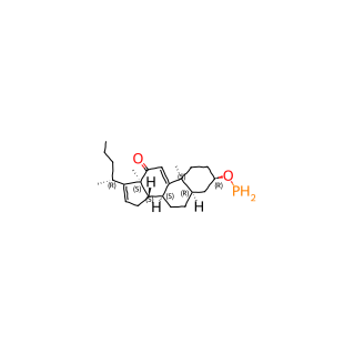 CCC[C@@H](C)C1=CC[C@H]2[C@@H]3CC[C@@H]4C[C@H](OP)CC[C@]4(C)C3=CC(=O)[C@]12C